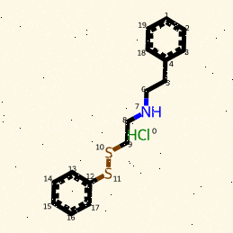 Cl.c1ccc(CCNCCSSc2ccccc2)cc1